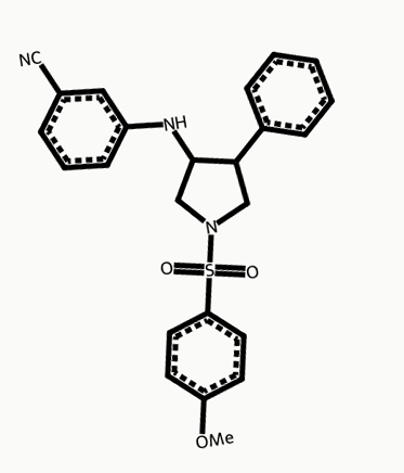 COc1ccc(S(=O)(=O)N2CC(Nc3cccc(C#N)c3)C(c3ccccc3)C2)cc1